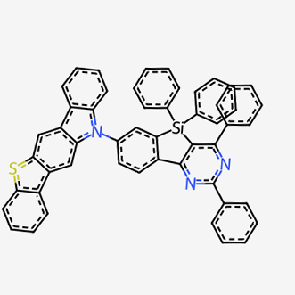 c1ccc(-c2nc(-c3ccccc3)c3c(n2)-c2ccc(-n4c5ccccc5c5cc6sc7ccccc7c6cc54)cc2[Si]3(c2ccccc2)c2ccccc2)cc1